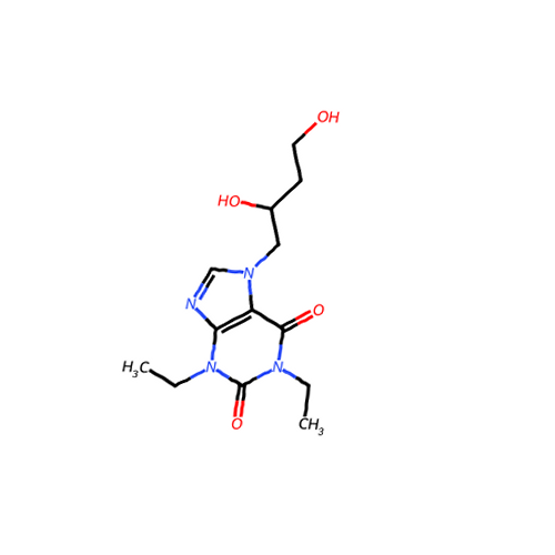 CCn1c(=O)c2c(ncn2CC(O)CCO)n(CC)c1=O